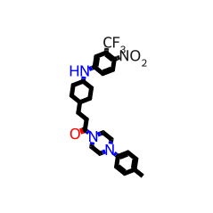 Cc1ccc(N2CCN(C(=O)CCC3CCC(Nc4ccc([N+](=O)[O-])c(C(F)(F)F)c4)CC3)CC2)cc1